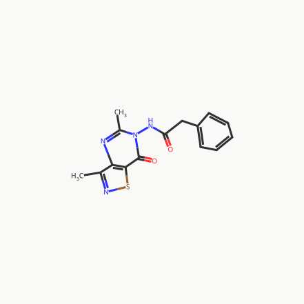 Cc1nsc2c(=O)n(NC(=O)Cc3ccccc3)c(C)nc12